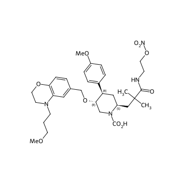 COCCCN1CCOc2ccc(CO[C@H]3CN(C(=O)O)[C@H](CC(C)(C)C(=O)NCCO[N+](=O)[O-])C[C@@H]3c3ccc(OC)cc3)cc21